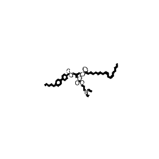 CCCCC/C=C\C/C=C\CCCCCCCC(=O)OCC(COC(=O)OCCCN(CC)CC)COC(=O)C1CCC(C2CCC(CCCCC)CC2)CC1